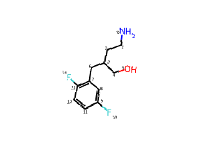 NCCC(CO)Cc1cc(F)ccc1F